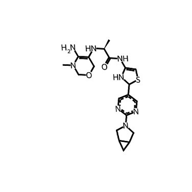 C[C@H](NC1=C(N)N(C)COC1)C(=O)NC1=CSC(c2cnc(N3CC4CC4C3)nc2)N1